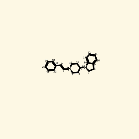 C(=CN1CCC(N2CCc3ccccc32)CC1)c1ccccc1